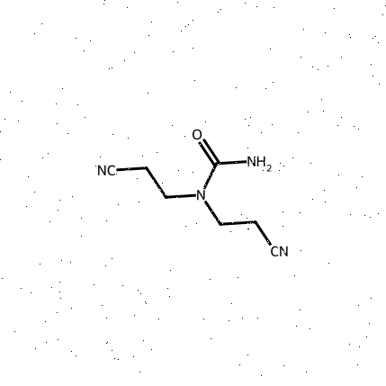 N#CCCN(CCC#N)C(N)=O